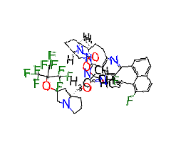 C#Cc1c(F)ccc2cccc(-c3nc4c5c(nc(OC[C@]67CCCN6C[C@@H](OC(C(F)(F)F)(C(F)(F)F)C(F)(F)F)C7)nc5c3F)N3C[C@H]5CC[C@@H]([C@H]3CC4)N5C(=O)OC(C)(C)C)c12